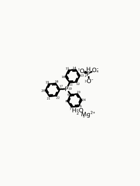 O.O=[PH]([O-])[O-].[Mg+2].c1ccc(P(c2ccccc2)c2ccccc2)cc1